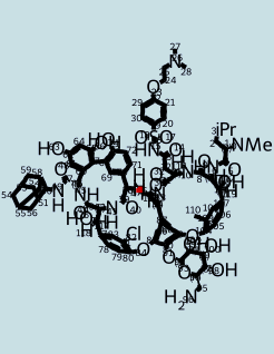 CN[C@H](CC(C)C)C(=O)N[C@H]1C(=O)N[C@@H](CC(=O)NS(=O)(=O)c2ccc(OCCN(C)C)cc2)C(=O)N[C@H]2C(=O)N[C@H]3C(=O)N[C@H](C(=O)N[C@H](C(=O)NC4C5CC6CC(C5)CC4C6)c4cc(O)cc(O)c4-c4cc3ccc4O)[C@H](O)c3ccc(c(Cl)c3)Oc3cc2cc(c3O[C@@H]2O[C@H](CN)[C@@H](O)[C@H](O)[C@H]2O)Oc2ccc(cc2C)[C@H]1O